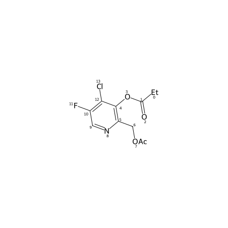 CCC(=O)Oc1c(COC(C)=O)ncc(F)c1Cl